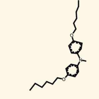 CCCCCCOc1ccc(N(C)c2ccc(OCCCCCC)cc2)cc1